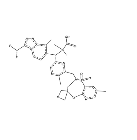 Cc1cnc2c(c1)S(=O)(=O)N(Cc1nc(C(c3ccn4c(C(F)F)nnc4c3C)C(C)(C)C(=O)O)ccc1C)CC1(COC1)O2